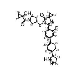 O=C(N1CC[C@@H](CN2C(=O)C3(CC3)N=C2c2ccc(C3=CC=C(C4CC=NN4)CC3)cc2F)C1)C1(O)CC1